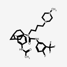 CC(=O)Nc1cccc([C@]23CC[C@@H](N(CCCCN4CCN(C)CC4)C(=O)Nc4ccc(F)c(C(F)(F)F)c4)CC2C3)c1